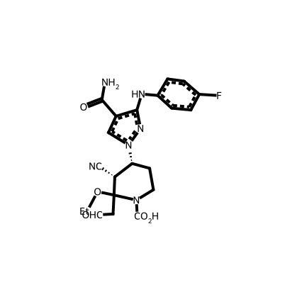 CCOC1(CC=O)[C@H](C#N)[C@H](n2cc(C(N)=O)c(Nc3ccc(F)cc3)n2)CCN1C(=O)O